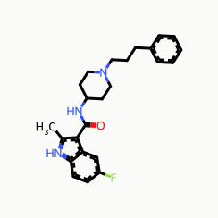 Cc1[nH]c2ccc(F)cc2c1C(=O)NC1CCN(CCCc2ccccc2)CC1